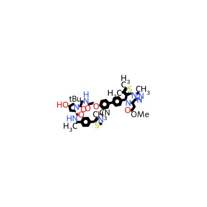 COC(=O)CC1N=C(c2ccc(-c3ccc(OCC(=O)NC(C(=O)N4C[C@H](O)C[C@H]4C(=O)N[C@@H](C)c4ccc(-c5scnc5C)cc4)C(C)(C)C)c(C#N)c3)cc2)c2c(sc(C)c2C)-n2c(C)nnc21